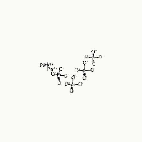 O=P([O-])([O-])[O-].O=P([O-])([O-])[O-].O=P([O-])([O-])[O-].O=P([O-])([O-])[O-].[Pa+4].[Pa+4].[Pa+4]